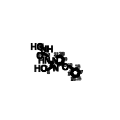 O=C(CNc1c(CO)nc2c(OCc3ccccc3)cccn12)NO